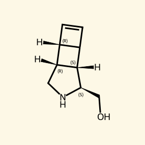 OC[C@H]1NC[C@H]2[C@@H]1C1C=C[C@H]12